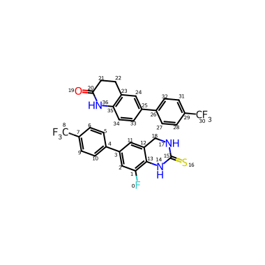 Fc1cc(-c2ccc(C(F)(F)F)cc2)cc2c1NC(=S)NC2.O=C1CCc2cc(-c3ccc(C(F)(F)F)cc3)ccc2N1